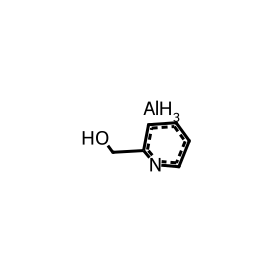 OCc1ccccn1.[AlH3]